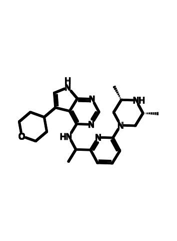 CC(Nc1ncnc2[nH]cc(C3CCOCC3)c12)c1cccc(N2C[C@@H](C)N[C@@H](C)C2)n1